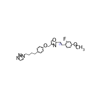 COc1ccc(/C=C/c2nc(COc3ccc(CCCCn4ccnn4)cc3)co2)c(F)c1